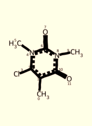 Cc1c(Cl)n(C)c(=O)n(C)c1=O